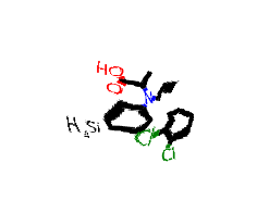 C=CCN(c1ccccc1)C(C)C(=O)O.Clc1ccccc1Cl.[SiH4]